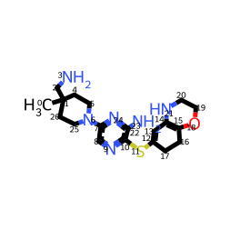 CC1(CN)CCN(c2cnc(SC3=CC4=C(CC3)OCCN4)c(N)n2)CC1